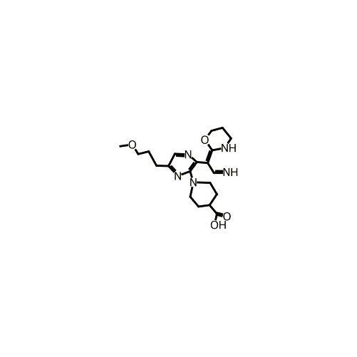 COCCCc1cnc(/C(C=N)=C2/NCCCO2)c(N2CCC(C(=O)O)CC2)n1